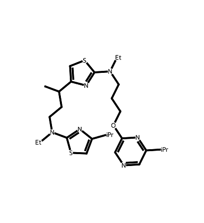 CCN(CCC(C)c1csc(N(CC)CCCOc2cncc(C(C)C)n2)n1)c1nc(C(C)C)cs1